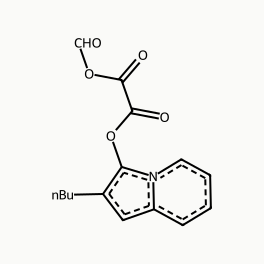 CCCCc1cc2ccccn2c1OC(=O)C(=O)OC=O